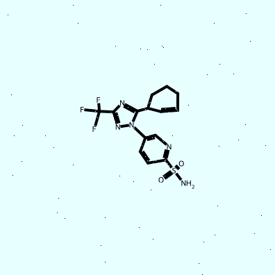 NS(=O)(=O)c1ccc(-n2nc(C(F)(F)F)nc2C2C=CCCC2)cn1